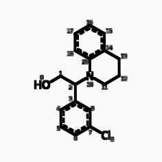 OCC(c1cccc(Cl)c1)N1CCCc2ccccc21